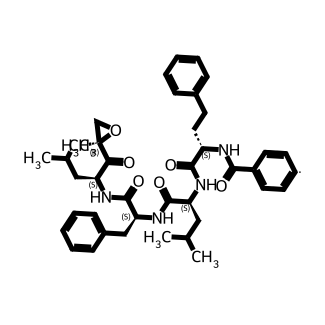 CC(C)C[C@H](NC(=O)[C@H](CCc1ccccc1)NC(=O)c1cc[c]cc1)C(=O)N[C@@H](Cc1ccccc1)C(=O)N[C@@H](CC(C)C)C(=O)[C@@]1(C)CO1